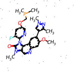 COc1cc2ncc3c(c2cc1-c1cn(C)nc1C)n(-c1ncc(OCP(C)C)cc1F)c(=O)n3C